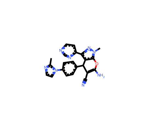 Cc1nccn1-c1ccc(C2C(C#N)=C(N)Oc3c2c(-c2ccncn2)nn3C)cc1